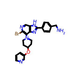 NCc1ccc(-c2nc3c(N4CCC(Oc5cccnc5)CC4)c(Br)ncc3[nH]2)cc1